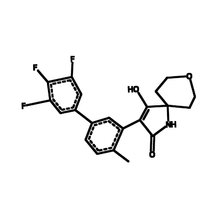 Cc1ccc(-c2cc(F)c(F)c(F)c2)cc1C1=C(O)C2(CCOCC2)NC1=O